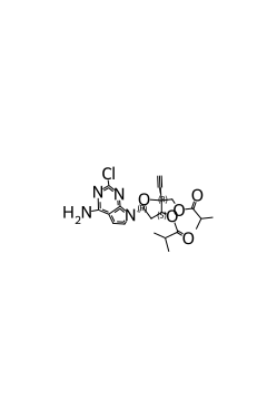 C#C[C@]1(COC(=O)C(C)C)O[C@@H](n2ccc3c(N)nc(Cl)nc32)C[C@@H]1OC(=O)C(C)C